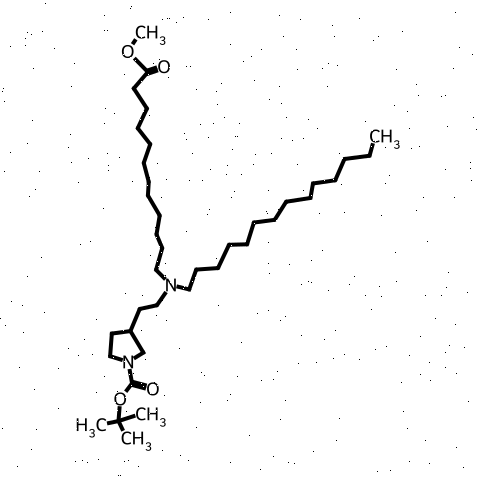 CCCCCCCCCCCCCCN(CCCCCCCCCCCC(=O)OC)CCC1CCN(C(=O)OC(C)(C)C)C1